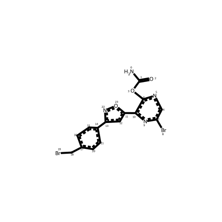 NC(=O)Oc1ncc(Br)nc1-c1cc(-c2ccc(CBr)cc2)no1